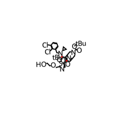 CC(C)(C)OC(=O)N1CC2CC(c3cnc(COCCO)s3)=C(C(=O)N(Cc3cccc(Cl)c3Cl)C3CC3)C(C1)N2C(=O)OC(C)(C)C